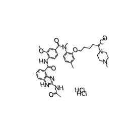 COc1cc(C(=O)N(C)c2ccc(C)cc2OCCCCC(=C=O)N2CCN(C)CC2)ccc1NC(=O)c1cccc2[nH]c(NC(C)=O)nc12.Cl.Cl